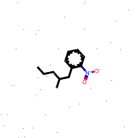 CCCC(C)Cc1ccccc1[N+](=O)[O-]